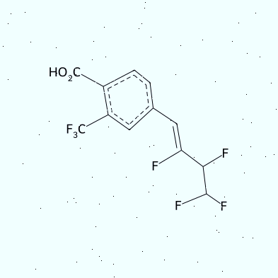 O=C(O)c1ccc(C=C(F)C(F)C(F)F)cc1C(F)(F)F